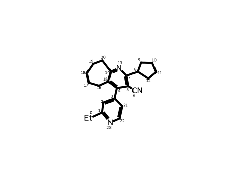 CCc1cc(-c2c(C#N)c(C3CCCC3)nc3c2CCCCC3)ccn1